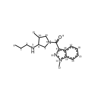 CCCNC1CN(C(=O)c2nn(C)c3ccccc23)CC1C